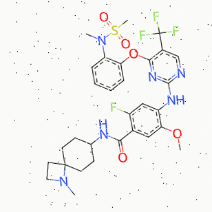 COc1cc(C(=O)NC2CCC3(CC2)CCN3C)c(F)cc1Nc1ncc(C(F)(F)F)c(Oc2ccccc2N(C)S(C)(=O)=O)n1